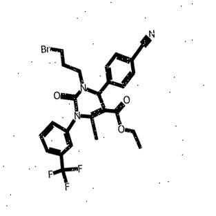 CCOC(=O)C1=C(C)N(c2cccc(C(F)(F)F)c2)C(=O)N(CCCBr)C1c1ccc(C#N)cc1